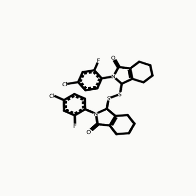 O=C1C2=C(CCCC2)C(SSC2C3=C(CCCC3)C(=O)N2c2ccc(Cl)cc2F)N1c1ccc(Cl)cc1F